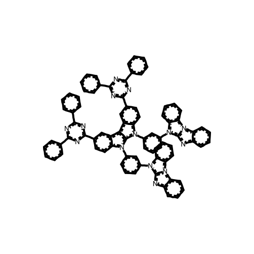 c1ccc(-c2nc(-c3ccccc3)nc(-c3ccc4c(c3)c3c5cc(-c6nc(-c7ccccc7)nc(-c7ccccc7)n6)ccc5n(-c5cccc(-n6c7ccccc7n7c8ccccc8nc67)c5)c3n4-c3cccc(-n4c5ccccc5n5c6ccccc6nc45)c3)n2)cc1